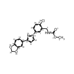 COC(=O)NCc1cc(-n2ccc(-c3ccc4c(c3)OCO4)n2)ccc1Cl